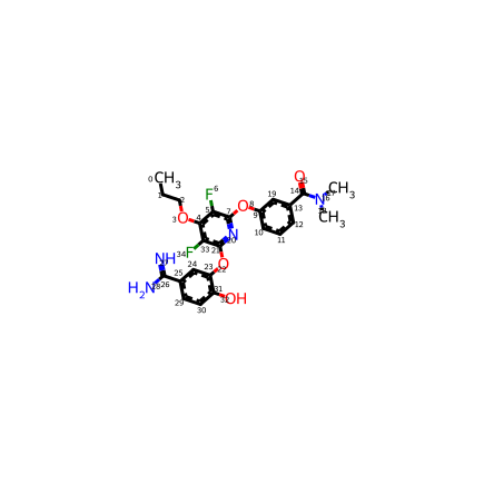 CCCOc1c(F)c(Oc2cccc(C(=O)N(C)C)c2)nc(Oc2cc(C(=N)N)ccc2O)c1F